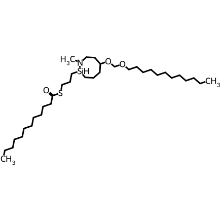 CCCCCCCCCCCCOCOC1CCC[SiH](CCCSC(=O)CCCCCCCCCCC)N(C)CC1